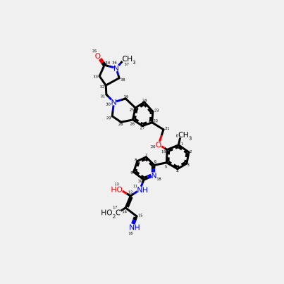 Cc1cccc(-c2cccc(N/C(O)=C(\C=N)C(=O)O)n2)c1OCc1ccc2c(c1)CCN(CC1CC(=O)N(C)C1)C2